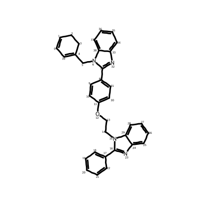 C1=CCCC(Cn2c(-c3ccc(OCCn4c(-c5ccccc5)nc5ccccc54)cc3)nc3ccccc32)=C1